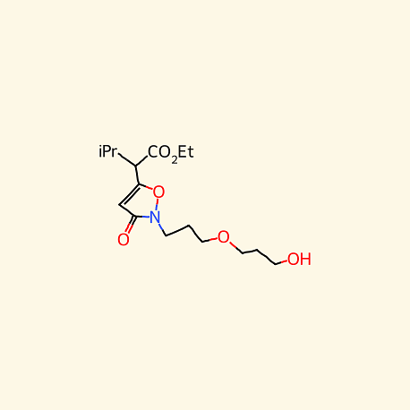 CCOC(=O)C(c1cc(=O)n(CCCOCCCO)o1)C(C)C